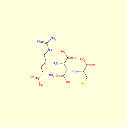 N=C(N)NCCC[C@H](N)C(=O)O.N[C@@H](CC(=O)O)C(=O)O.N[C@@H](CS)C(=O)O